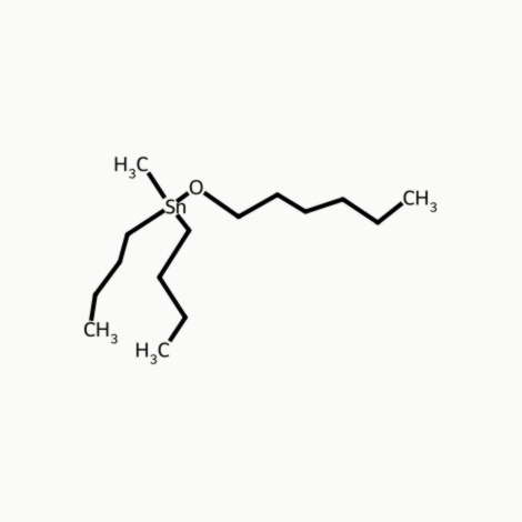 CCCCCC[O][Sn]([CH3])([CH2]CCC)[CH2]CCC